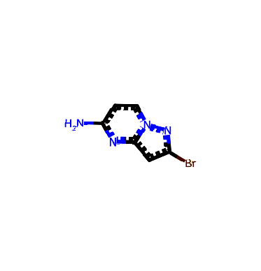 Nc1ccn2nc(Br)cc2n1